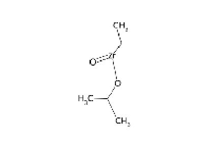 C[CH2][Zr](=[O])[O]C(C)C